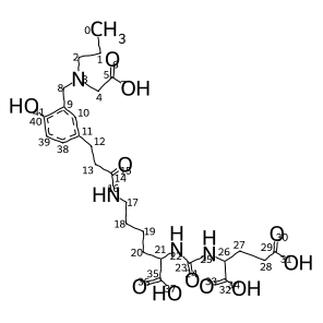 CCCN(CC(=O)O)Cc1cc(CCC(=O)NCCCCC(NC(=O)NC(CCC(=O)O)C(=O)O)C(=O)O)ccc1O